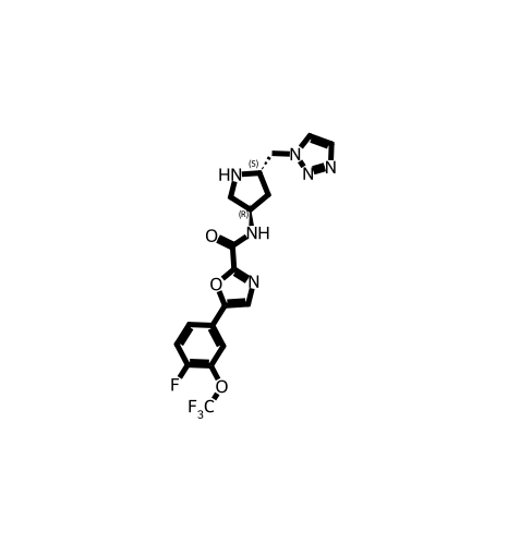 O=C(N[C@H]1CN[C@H](Cn2ccnn2)C1)c1ncc(-c2ccc(F)c(OC(F)(F)F)c2)o1